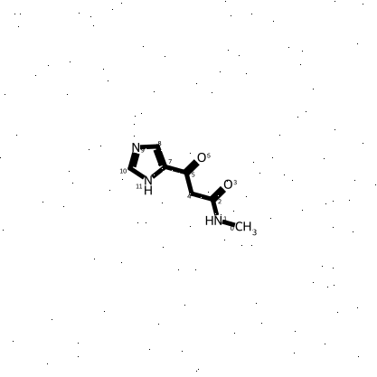 CNC(=O)CC(=O)c1cnc[nH]1